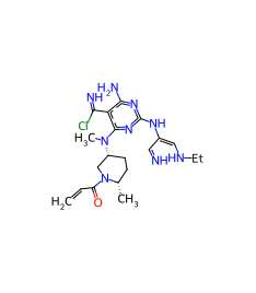 C=CC(=O)N1C[C@H](N(C)c2nc(N/C(C=N)=C/NCC)nc(N)c2C(=N)Cl)CC[C@@H]1C